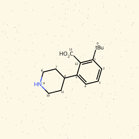 CC(C)(C)c1cccc(C2CCNCC2)c1C(=O)O